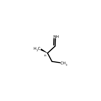 CC[C@@H](C)C=N